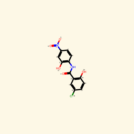 O=C(Nc1ccc([N+](=O)[O-])cc1O)c1cc(Cl)ccc1O